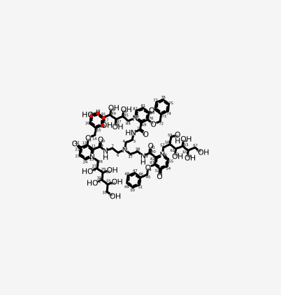 O=C(NCCN(CCNC(=O)c1c(OCc2ccccc2)c(=O)ccn1CC(O)C(O)[C@H](O)C(O)CO)CCNC(=O)c1c(OCc2ccccc2)c(=O)ccn1CC(CO)C(O)C(O)C(O)CO)c1c(OCc2ccccc2)c(=O)ccn1CC(O)C(O)C(O)C(O)CO